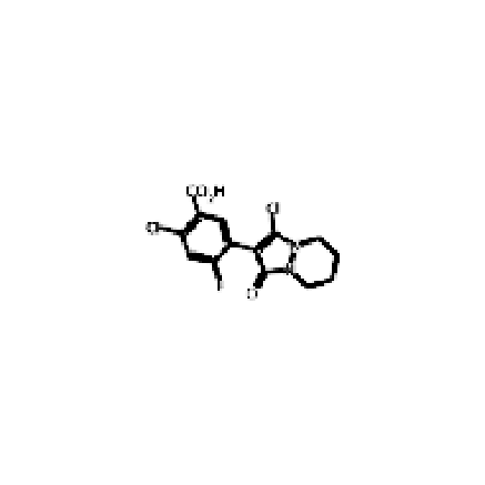 O=C(O)c1cc(-c2c(Cl)n3n(c2=O)CCCC3)c(F)cc1Cl